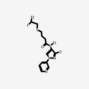 CCC(F)CSCCCC(=O)N(CC)c1cn(-c2cccnc2)nc1Cl